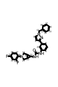 O=C(Nc1cccc(-c2ccn(Cc3ccccc3)n2)c1)NC1C2CN(c3ccc(F)cc3F)CC21